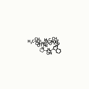 CSn1cc(-c2noc(C3CCCN3C(=NC(=O)OC(C)(C)C)NC(=O)OC(C)(C)C)n2)c2ccccc21